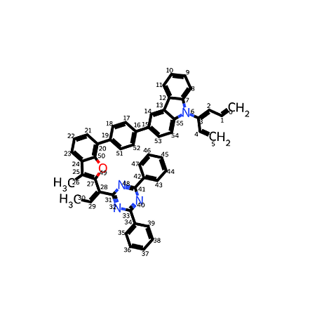 C=C/C=C(\C=C)n1c2ccccc2c2cc(-c3ccc(-c4cccc5c(C)c(/C(=C\C)c6nc(-c7ccccc7)nc(-c7ccccc7)n6)oc45)cc3)ccc21